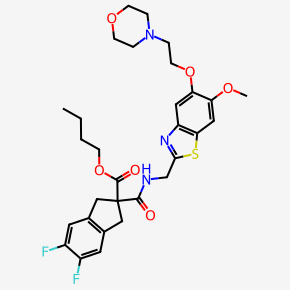 CCCCOC(=O)C1(C(=O)NCc2nc3cc(OCCN4CCOCC4)c(OC)cc3s2)Cc2cc(F)c(F)cc2C1